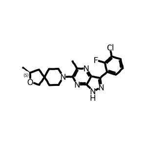 Cc1nc2c(-c3cccc(Cl)c3F)n[nH]c2nc1N1CCC2(CC1)CO[C@@H](C)C2